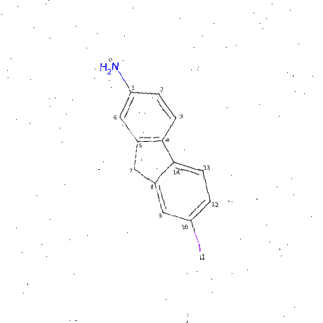 Nc1ccc2c(c1)Cc1cc(I)ccc1-2